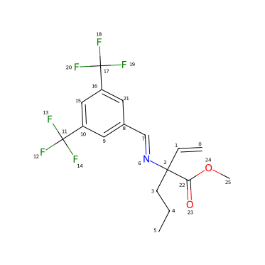 C=CC(CCC)(N=Cc1cc(C(F)(F)F)cc(C(F)(F)F)c1)C(=O)OC